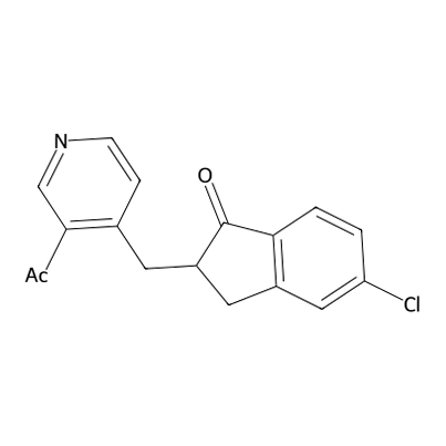 CC(=O)c1cnccc1CC1Cc2cc(Cl)ccc2C1=O